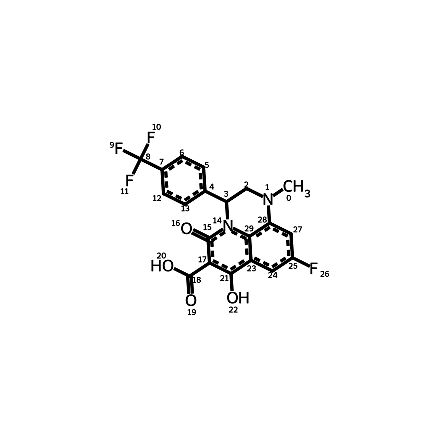 CN1CC(c2ccc(C(F)(F)F)cc2)n2c(=O)c(C(=O)O)c(O)c3cc(F)cc1c32